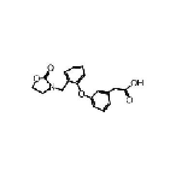 O=C(O)Cc1cccc(Oc2ccccc2CN2CCOC2=O)c1